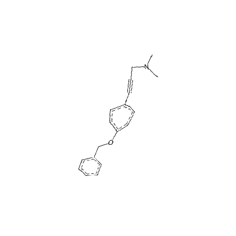 CN(C)CC#Cc1ccc(OCc2ccccc2)cc1